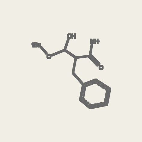 CC(C)(C)OC(O)C(Cc1ccccc1)C([NH])=O